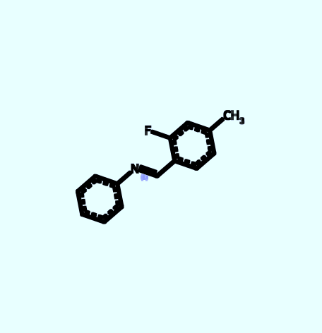 Cc1ccc(/C=N/c2ccccc2)c(F)c1